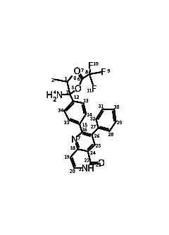 CC(C)C(N)(OC(=O)C(F)(F)F)c1ccc(-c2nc3cc[nH]c(=O)c3cc2-c2ccccc2)cc1